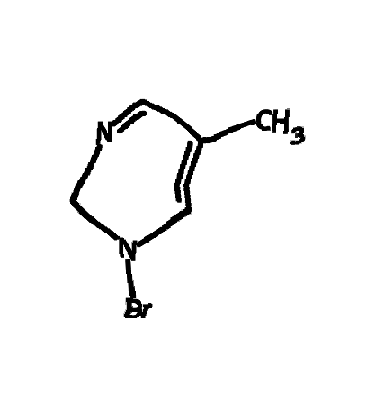 CC1=CN(Br)CN=C1